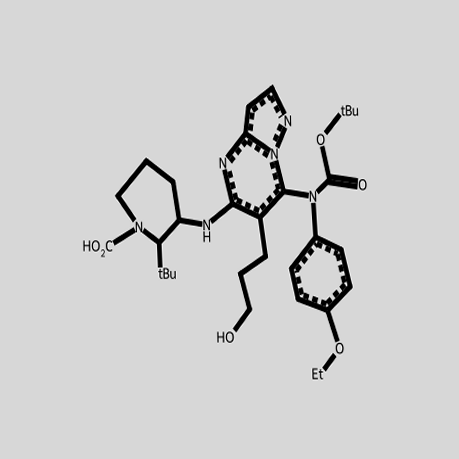 CCOc1ccc(N(C(=O)OC(C)(C)C)c2c(CCCO)c(NC3CCCN(C(=O)O)C3C(C)(C)C)nc3ccnn23)cc1